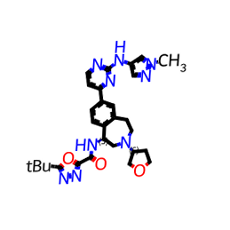 Cn1cc(Nc2nccc(-c3ccc4c(c3)CCN([C@H]3CCOC3)C[C@H]4NC(=O)c3nnc(C(C)(C)C)o3)n2)cn1